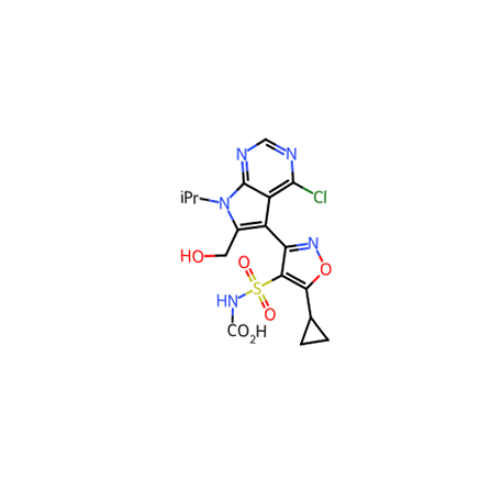 CC(C)n1c(CO)c(-c2noc(C3CC3)c2S(=O)(=O)NC(=O)O)c2c(Cl)ncnc21